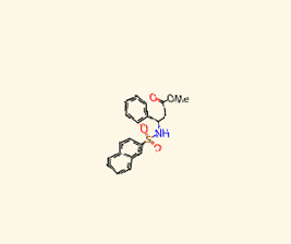 COC(=O)CC(NS(=O)(=O)c1ccc2ccccc2c1)c1ccccc1